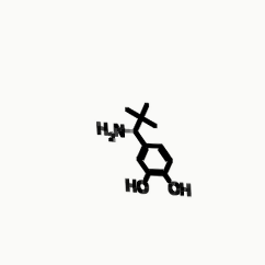 CC(C)(C)[C@@H](N)c1ccc(O)c(O)c1